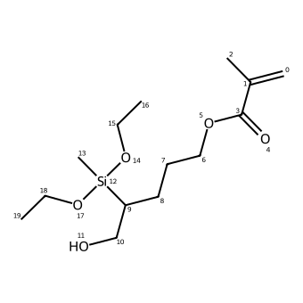 C=C(C)C(=O)OCCCC(CO)[Si](C)(OCC)OCC